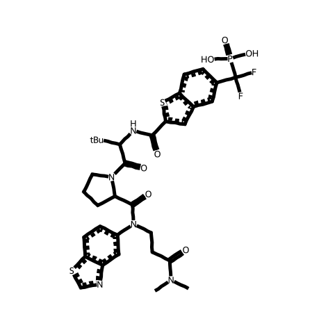 CN(C)C(=O)CCN(C(=O)C1CCCN1C(=O)C(NC(=O)c1cc2cc(C(F)(F)P(=O)(O)O)ccc2s1)C(C)(C)C)c1ccc2scnc2c1